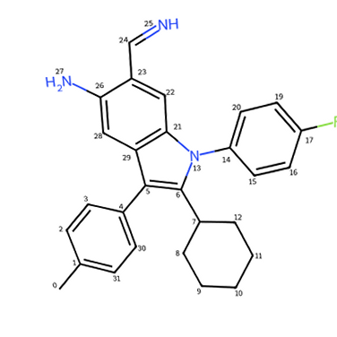 Cc1ccc(-c2c(C3CCCCC3)n(-c3ccc(F)cc3)c3cc(C=N)c(N)cc23)cc1